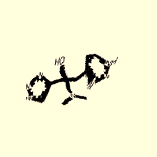 CN(C)C(O)(c1c[nH]nn1)c1c[nH]nn1